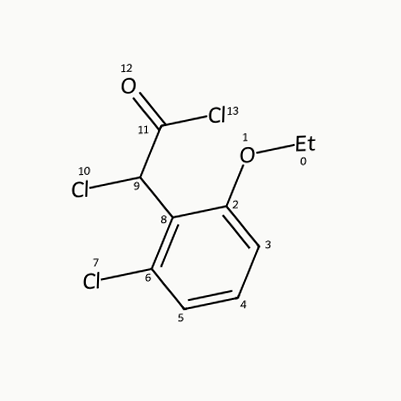 CCOc1cccc(Cl)c1C(Cl)C(=O)Cl